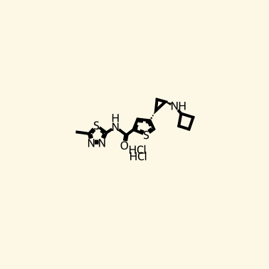 Cc1nnc(NC(=O)c2cc([C@@H]3C[C@H]3NC3CCC3)cs2)s1.Cl.Cl